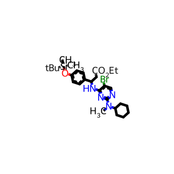 CCOC(=O)CC(Nc1nc(N(C)C2CCCCC2)ncc1Br)c1ccc(O[Si](C)(C)C(C)(C)C)cc1